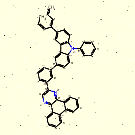 C=C/C=C(\C=C/C)c1ccc2c(c1)c1cc(-c3cccc(-c4cnc5c6ccccc6c6ccccc6c5n4)c3)ccc1n2-c1ccccc1